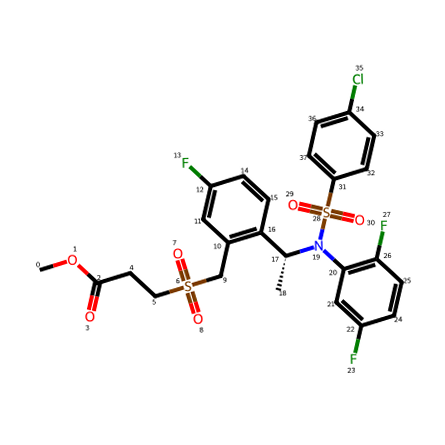 COC(=O)CCS(=O)(=O)Cc1cc(F)ccc1[C@@H](C)N(c1cc(F)ccc1F)S(=O)(=O)c1ccc(Cl)cc1